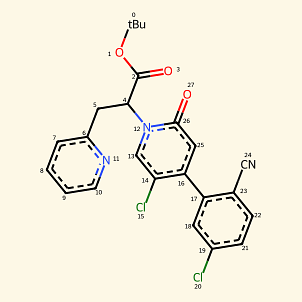 CC(C)(C)OC(=O)C(Cc1ccccn1)n1cc(Cl)c(-c2cc(Cl)ccc2C#N)cc1=O